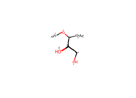 [CH2]CCOC(OC(C)=O)C(O)CO